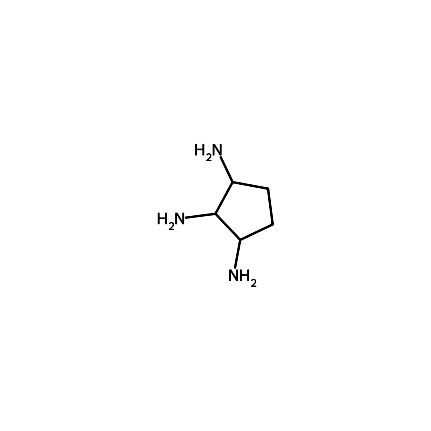 NC1CCC(N)C1N